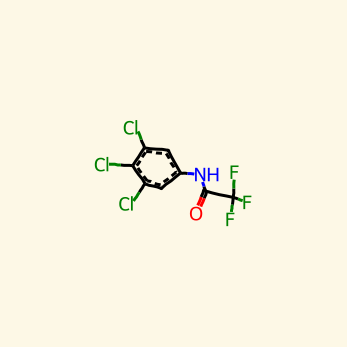 O=C(Nc1cc(Cl)c(Cl)c(Cl)c1)C(F)(F)F